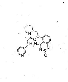 NC1=N[S+]([O-])Nc2cccc(OCC3CCCCN3C(=O)CCc3cccnc3)c21